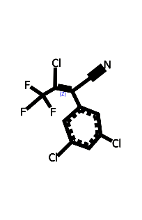 N#C/C(=C(\Cl)C(F)(F)F)c1cc(Cl)cc(Cl)c1